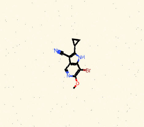 COc1ncc2c(C#N)c(C3CC3)[nH]c2c1Br